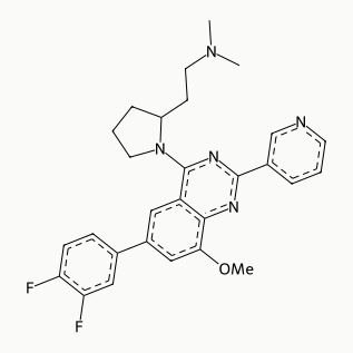 COc1cc(-c2ccc(F)c(F)c2)cc2c(N3CCCC3CCN(C)C)nc(-c3cccnc3)nc12